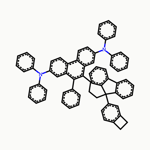 c1ccc(-c2c(CCCC3(c4ccc5c(c4)CC5)c4ccccc4-c4ccccc43)c3cc(N(c4ccccc4)c4ccccc4)ccc3c3ccc(N(c4ccccc4)c4ccccc4)cc23)cc1